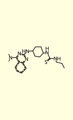 CCCNC(=S)NC1CCC(Nc2nc(N(C)C)c3ccccc3n2)CC1